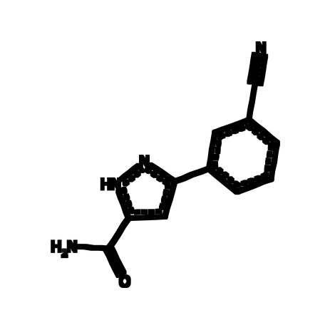 N#Cc1cccc(-c2cc(C(N)=O)[nH]n2)c1